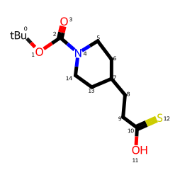 CC(C)(C)OC(=O)N1CCC(CCC(O)=S)CC1